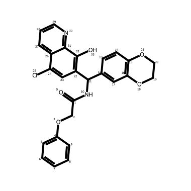 O=C(COc1ccccc1)NC(c1ccc2c(c1)OCCO2)c1cc(Cl)c2cccnc2c1O